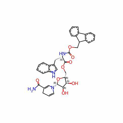 NC(=O)C1=CN([C@@H]2O[C@H](COC(=O)[C@H](Cc3c[nH]c4ccccc34)NC(=O)OCC3c4ccccc4-c4ccccc43)[C@@H](O)[C@H]2O)C=CC1